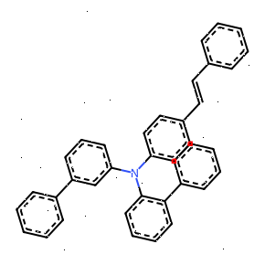 C(=C\c1ccc(N(c2cccc(-c3ccccc3)c2)c2ccccc2-c2ccccc2)cc1)/c1ccccc1